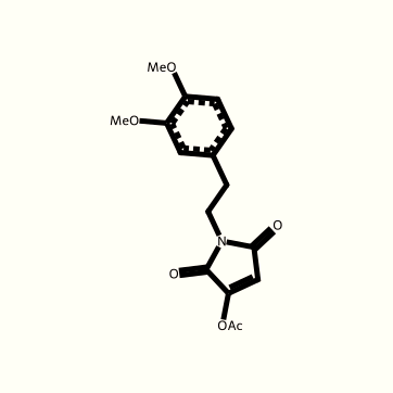 COc1ccc(CCN2C(=O)C=C(OC(C)=O)C2=O)cc1OC